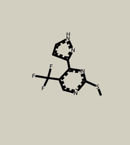 CSc1ncc(C(F)(F)F)c(-c2cc[nH]n2)n1